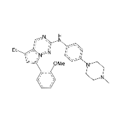 CCc1cc(-c2ccccc2OC)n2nc(Nc3ccc(N4CCN(C)CC4)cc3)ncc12